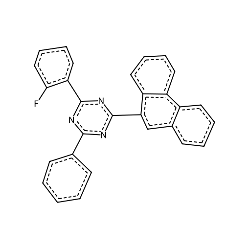 Fc1ccccc1-c1nc(-c2ccccc2)nc(-c2cc3ccccc3c3ccccc23)n1